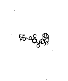 COc1cc(C(=O)N2CC[C@@]3(c4ncccn4)OCOC3C2)ccc1OCCOC(F)(F)F